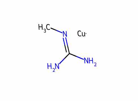 CN=C(N)N.[Cu]